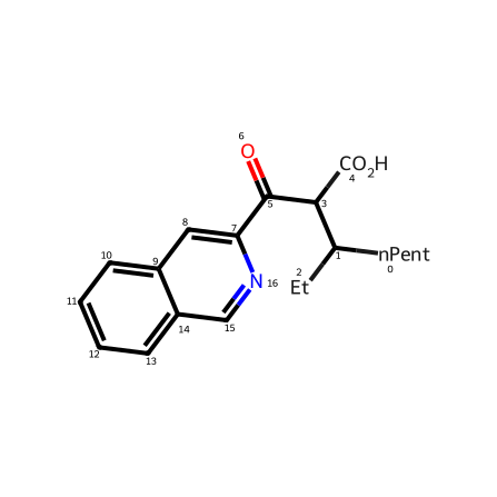 CCCCCC(CC)C(C(=O)O)C(=O)c1cc2ccccc2cn1